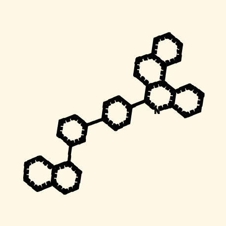 c1cc(-c2ccc(-c3nc4ccccc4c4c3ccc3ccccc34)cc2)cc(-c2cccc3ccccc23)c1